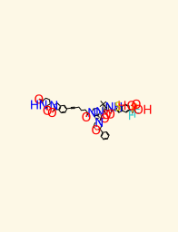 CC(C)(C)[C@H](NC(=O)c1cc2cc(C(F)(F)P(=O)(O)O)ccc2s1)C(=O)N1CCN(C(=O)CCCC#Cc2ccc3c(c2)CN(C2CCC(=O)NC2=O)C3=O)C[C@H]1C(=O)N1CCOC(c2ccccc2)C1